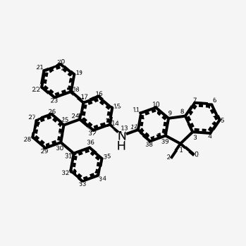 CC1(C)c2ccccc2-c2ccc(Nc3ccc(-c4ccccc4)c(-c4ccccc4-c4ccccc4)c3)cc21